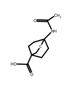 CC(=O)NC12CCC(C(=O)O)(CC1)CC2